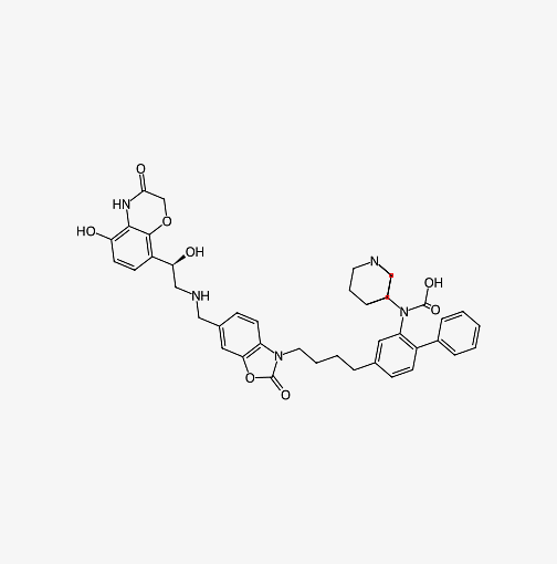 O=C1COc2c([C@@H](O)CNCc3ccc4c(c3)oc(=O)n4CCCCc3ccc(-c4ccccc4)c(N(C(=O)O)C4CN5CCC4CC5)c3)ccc(O)c2N1